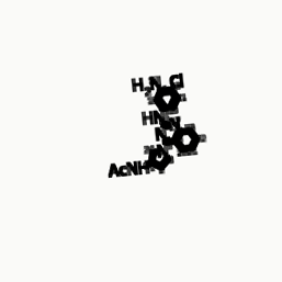 CC(=O)NC1CCN(c2nc(Nc3ccc(Cl)c(N)c3)nc3c2CCCC3)C1